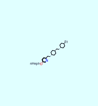 CCCCCCCOc1ccc(CC[C@H]2CC[C@H](CC[C@H]3CC[C@H](CC)CC3)CC2)nc1